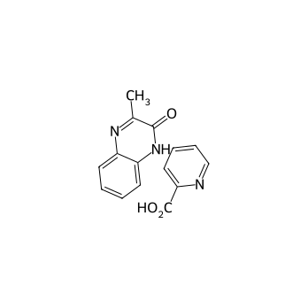 Cc1nc2ccccc2[nH]c1=O.O=C(O)c1ccccn1